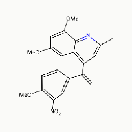 C=C(c1ccc(OC)c([N+](=O)[O-])c1)c1cc(C)nc2c(OC)cc(OC)cc12